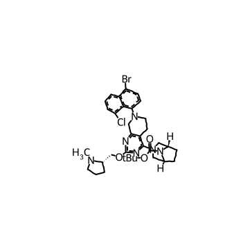 CN1CCC[C@H]1COc1nc2c(c(N3C[C@H]4CC[C@@H](C3)N4C(=O)OC(C)(C)C)n1)CCN(c1ccc(Br)c3cccc(Cl)c13)C2